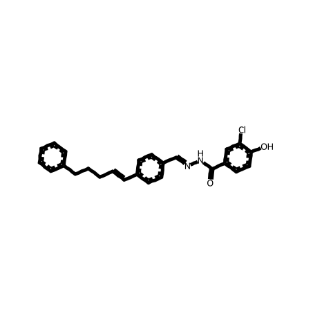 O=C(N/N=C/c1ccc(/C=C/CCCc2ccccc2)cc1)c1ccc(O)c(Cl)c1